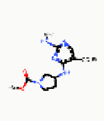 CCCNc1ncc(C(=O)OCC)c(NC2CCN(C(=O)OC(C)(C)C)C2)n1